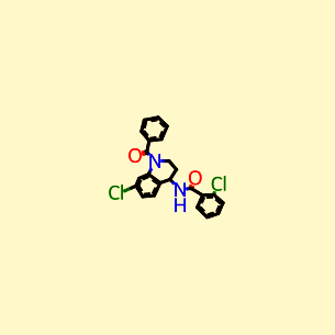 O=C(NC1CCN(C(=O)c2ccccc2)c2cc(Cl)ccc21)c1ccccc1Cl